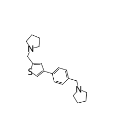 c1cc(-c2csc(CN3CCCC3)c2)ccc1CN1CCCC1